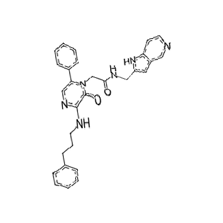 O=C(Cn1c(-c2ccccc2)cnc(NCCCc2ccccc2)c1=O)NCc1cc2cnccc2[nH]1